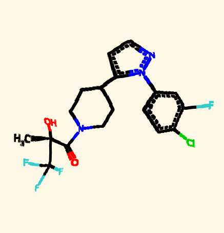 C[C@@](O)(C(=O)N1CCC(c2ccnn2-c2ccc(Cl)c(F)c2)CC1)C(F)(F)F